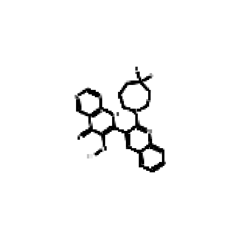 COc1c(-c2cc3ccccc3nc2N2CCCC(F)(F)CC2)[nH]c2ccncc2c1=O